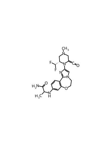 CC(Nc1ccc2c(c1)OCCn1cc(N3C(=C=O)CN(C)C[C@H]3C(F)F)nc1-2)C(N)=O